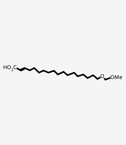 COCOCCCCCCCCCCCCCCCC=CC(=O)O